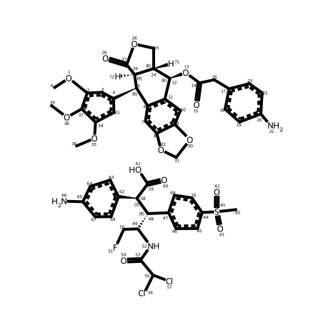 COc1cc([C@@H]2c3cc4c(cc3[C@H](OC(=O)Cc3ccc(N)cc3)[C@H]3COC(=O)[C@H]23)OCO4)cc(OC)c1OC.CS(=O)(=O)c1ccc([C@H](C(CF)NC(=O)C(Cl)Cl)[C@H](C(=O)O)c2ccc(N)cc2)cc1